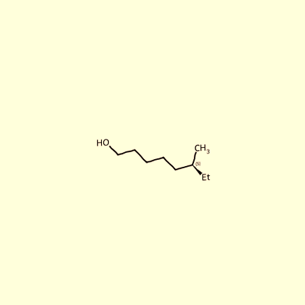 CC[C@H](C)CCCCCO